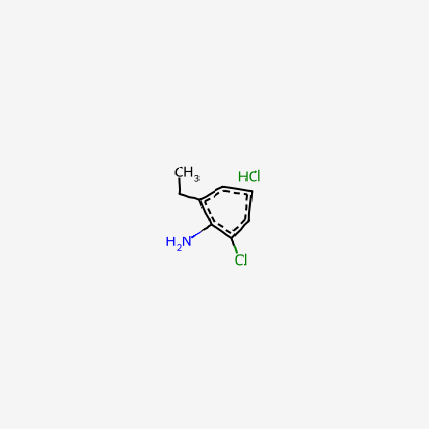 CCc1cccc(Cl)c1N.Cl